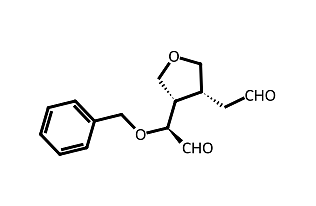 O=CC[C@H]1COC[C@H]1[C@@H](C=O)OCc1ccccc1